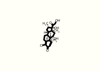 C[C@H]1C[C@H]2[C@@H]3CCC4=C(Cl)C(=O)C=C[C@]4(C)[C@@]3(F)[C@@H](O)C[C@]2(C)[C@@]1(O)C(=O)CO